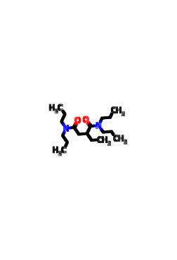 CCCN(CCC)C(=O)CC(CC)C(=O)N(CCC)CCC